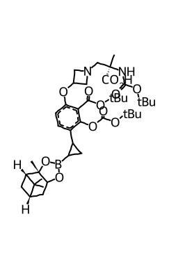 CC(C)(C)OC(=O)N[C@](C)(CN1CC(Oc2ccc(C3CC3B3OC4C[C@@H]5C[C@@H](C5(C)C)[C@]4(C)O3)c(OC(=O)OC(C)(C)C)c2C(=O)OC(C)(C)C)C1)C(=O)O